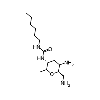 CCCCCCNC(=O)N[C@@H]1CC(N)[C@@H](CN)OC1C